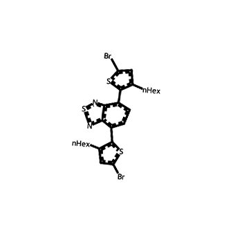 CCCCCCc1cc(Br)sc1-c1ccc(-c2sc(Br)cc2CCCCCC)c2nsnc12